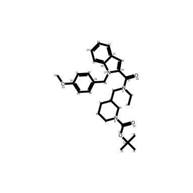 CCN(CC1CCCN(C(=O)OC(C)(C)C)C1)C(=O)c1cc2ccccc2n1Cc1ccc(OC)cc1